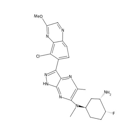 COc1cnc2ccc(-c3n[nH]c4nc(N(C)[C@@H]5CC[C@@H](F)[C@@H](N)C5)c(C)nc34)c(Cl)c2n1